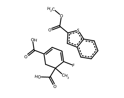 CC1(C(=O)O)CC(C(=O)O)=CC=C1F.COC(=O)c1cc2ccccc2s1